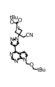 CC(C)(C)COCn1ccc2c(-c3cnn(C4(CC#N)CN(C(=O)OC(C)(C)C)C4)c3)ncnc21